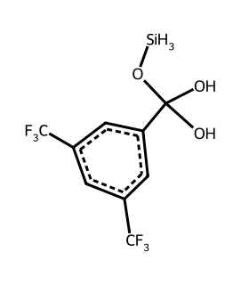 OC(O)(O[SiH3])c1cc(C(F)(F)F)cc(C(F)(F)F)c1